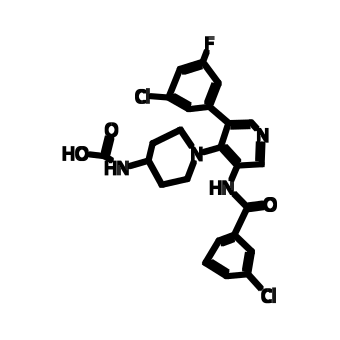 O=C(O)NC1CCN(c2c(NC(=O)c3cccc(Cl)c3)cncc2-c2cc(F)cc(Cl)c2)CC1